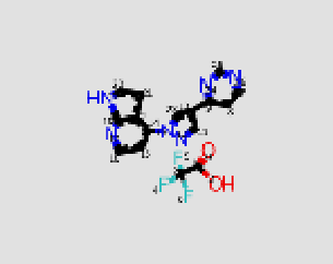 O=C(O)C(F)(F)F.c1cc(-c2cnn(-c3ccnc4[nH]ccc34)c2)ncn1